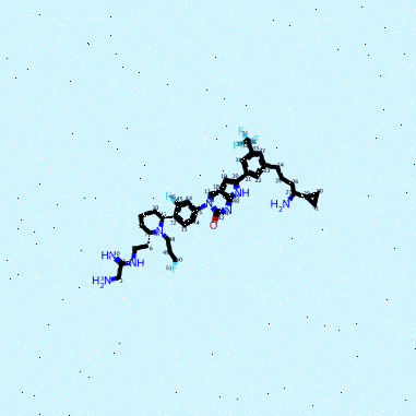 N=C(CN)NCC[C@@H]1CCC[C@@H](c2ccc(-n3cc4cc(-c5cc(CCCC(N)C6CC6)cc(C(F)(F)F)c5)[nH]c4nc3=O)cc2F)N1CCCF